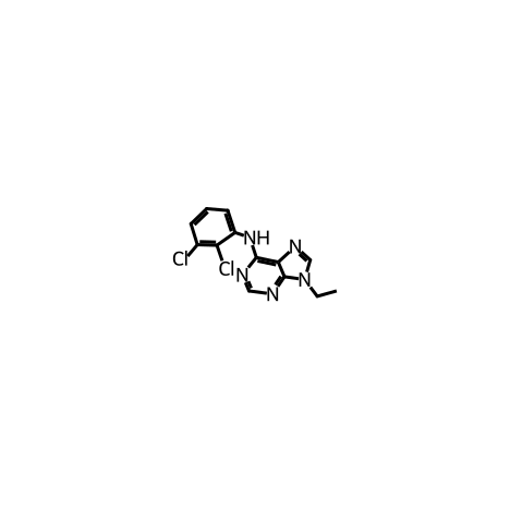 CCn1cnc2c(Nc3cccc(Cl)c3Cl)ncnc21